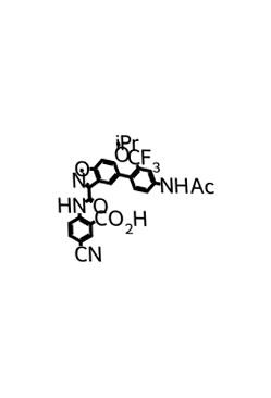 CC(=O)Nc1ccc(-c2cc3c(C(=O)Nc4ccc(C#N)cc4C(=O)O)noc3cc2OC(C)C)c(C(F)(F)F)c1